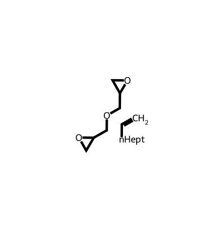 C(OCC1CO1)C1CO1.C=CCCCCCCC